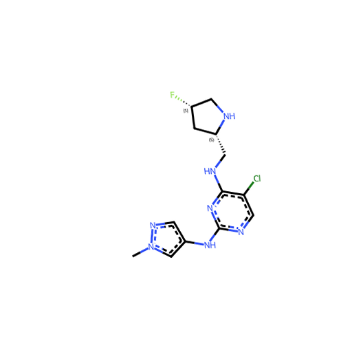 Cn1cc(Nc2ncc(Cl)c(NC[C@@H]3C[C@H](F)CN3)n2)cn1